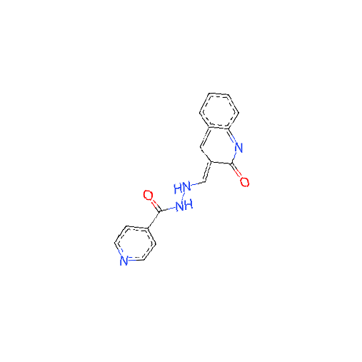 O=C1N=c2ccccc2=CC1=CNNC(=O)c1ccncc1